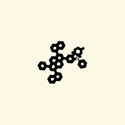 CC1CCC2(C)c3cc(-c4cc(-c5cccc6ccccc56)c5ccc6c(-c7ccccc7)cc(-c7cccc8ccccc78)c7ccc4c5c67)ccc3N(c3ccccc3)C2(C)C1